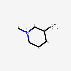 CN1[CH]C([N+](=O)[O-])CCC1